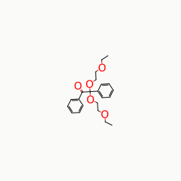 CCOCCOC(OCCOCC)(C(=O)c1ccccc1)c1ccccc1